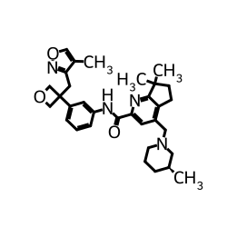 Cc1conc1CC1(c2cccc(NC(=O)c3cc(CN4CCC[C@H](C)C4)c4c(n3)C(C)(C)CC4)c2)COC1